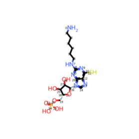 NCCCCCCNc1nc(S)c2ncn([C@@H]3O[C@H](COP(=O)(O)O)C(O)C3O)c2n1